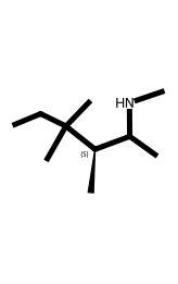 CCC(C)(C)[C@H](C)C(C)NC